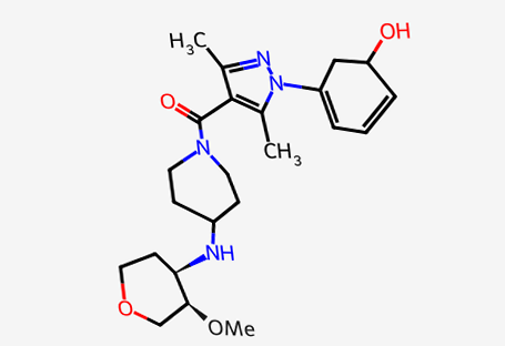 CO[C@H]1COCC[C@H]1NC1CCN(C(=O)c2c(C)nn(C3=CC=CC(O)C3)c2C)CC1